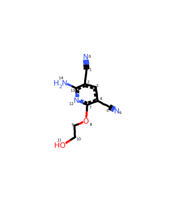 N#Cc1cc(C#N)c(OCCO)nc1N